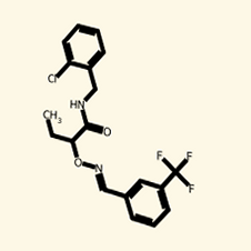 CCC(ON=Cc1cccc(C(F)(F)F)c1)C(=O)NCc1ccccc1Cl